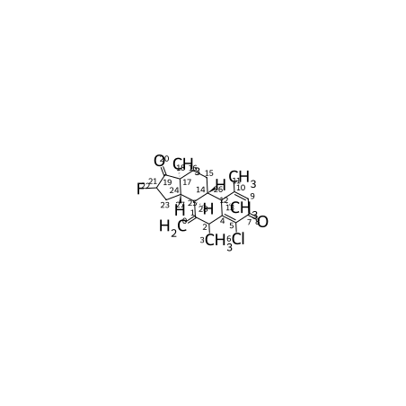 C=C1C(C)C2=C(Cl)C(=O)C=C(C)[C@]2(C)[C@H]2CC[C@]3(C)C(=O)C(F)C[C@H]3[C@H]12